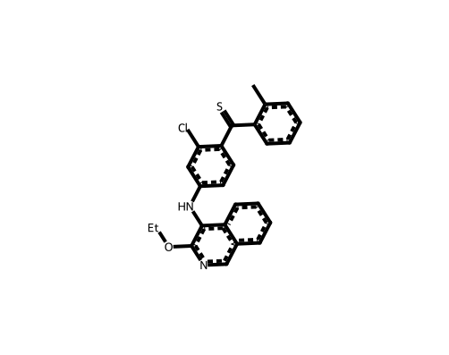 CCOc1ncc2ccccc2c1Nc1ccc(C(=S)c2ccccc2C)c(Cl)c1